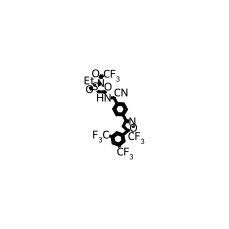 CCS(=O)(CC(=O)NC(C#N)c1ccc(C2=NOC(c3cc(C(F)(F)F)cc(C(F)(F)F)c3)(C(F)(F)F)C2)cc1)=NC(=O)C(F)(F)F